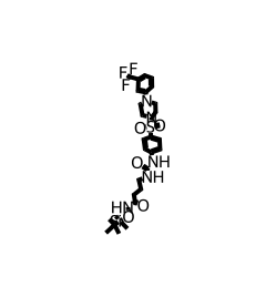 CC(C)(C)[Si](C)(C)ONC(=O)CCCNC(=O)Nc1ccc(S(=O)(=O)N2CCN(c3cccc(C(F)(F)F)c3)CC2)cc1